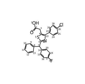 O=C(O)Cc1sc(C(c2ccccc2)c2ccc(F)cc2)nc1-c1ccc(Cl)cc1